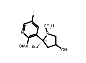 COc1ncc(F)cc1[C@]1(C(C)(C)C)CC(O)CN1C(=O)O